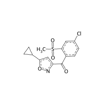 CS(=O)(=O)c1cc(Cl)ccc1C(=O)c1cc(C2CC2)on1